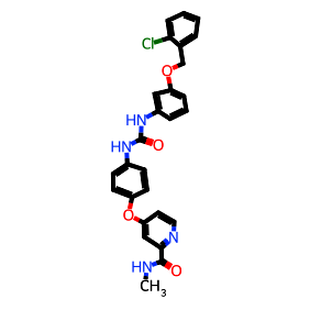 CNC(=O)c1cc(Oc2ccc(NC(=O)Nc3cccc(OCc4ccccc4Cl)c3)cc2)ccn1